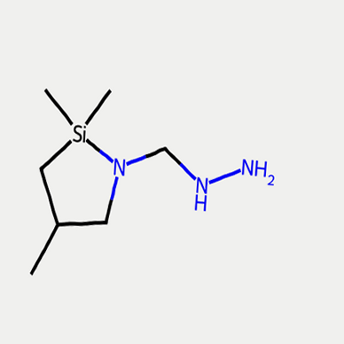 CC1CN(CNN)[Si](C)(C)C1